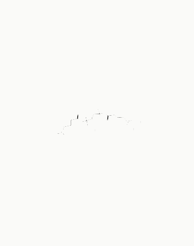 CCN(C)CCCC(=O)OC(C)(C)CCC(C)(C)OC(=O)CCCN(C)C